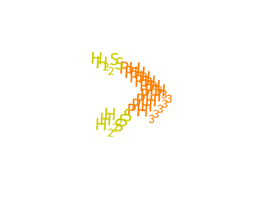 P.P.P.P.P.P.P.P.P.P.S.S.S.S.S